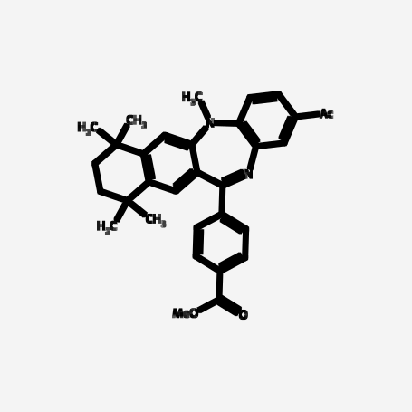 COC(=O)c1ccc(C2=Nc3cc(C(C)=O)ccc3N(C)c3cc4c(cc32)C(C)(C)CCC4(C)C)cc1